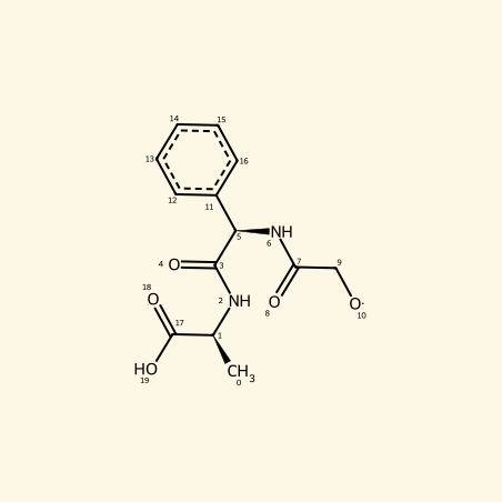 C[C@H](NC(=O)[C@H](NC(=O)C[O])c1ccccc1)C(=O)O